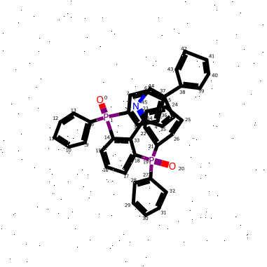 O=P(c1ccccc1)(c1ccccc1)c1cccc(P(=O)(c2ccccc2)c2ccccc2)c1-c1ccc(-c2ccccc2)cn1